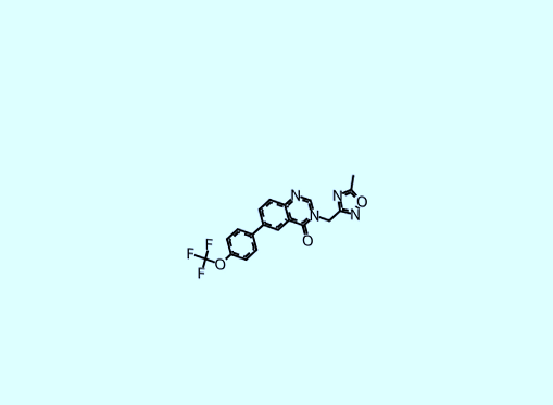 Cc1nc(Cn2cnc3ccc(-c4ccc(OC(F)(F)F)cc4)cc3c2=O)no1